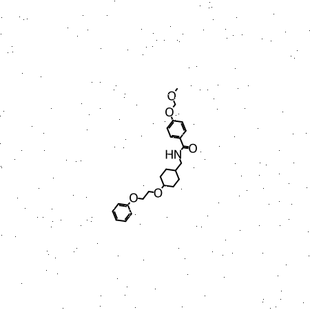 COCOc1ccc(C(=O)NCC2CCC(OCCOc3ccccc3)CC2)cc1